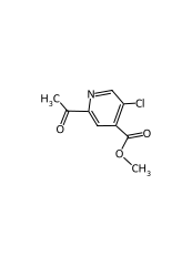 COC(=O)c1cc(C(C)=O)ncc1Cl